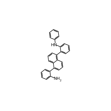 Nc1ccccc1-c1cccc2c(-c3ccccc3Nc3ccccc3)cccc12